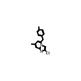 CCc1cn2c(Cc3ccc(C)cc3)cc(C)cc2n1